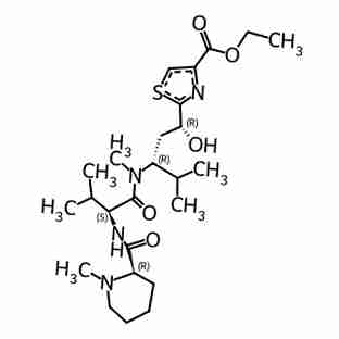 CCOC(=O)c1csc([C@H](O)C[C@H](C(C)C)N(C)C(=O)[C@@H](NC(=O)[C@H]2CCCCN2C)C(C)C)n1